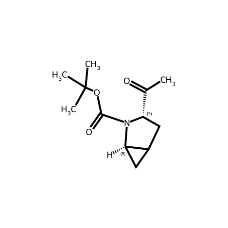 CC(=O)[C@@H]1CC2C[C@H]2N1C(=O)OC(C)(C)C